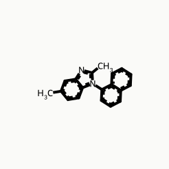 Cc1ccc2c(c1)nc(C)n2-c1cccc2ccccc12